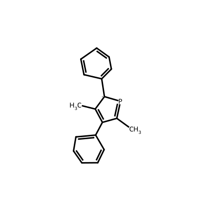 CC1=P[C](c2ccccc2)C(C)=C1c1ccccc1